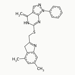 C=C1NC(SCC2=Nc3cc(C)cc(C)c3C2)=Nc2c1cnn2-c1ccccc1